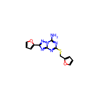 Nc1nc(SCc2ccco2)nc2nc(-c3ccco3)nn12